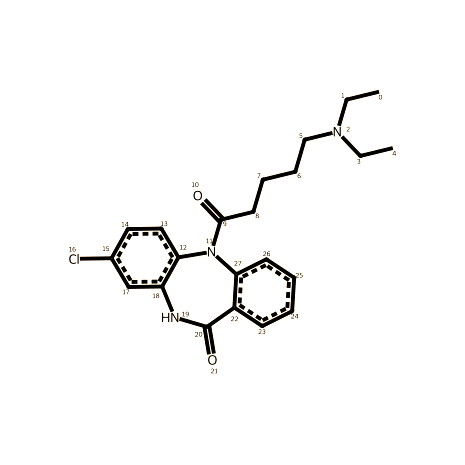 CCN(CC)CCCCC(=O)N1c2ccc(Cl)cc2NC(=O)c2ccccc21